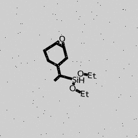 CCO[SiH](OCC)C(C)C1CCC2OC2C1